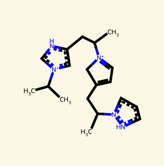 CC(Cc1c[n+](C(C)C)c[nH]1)[N+]1=CC=C(CC(C)[n+]2ccc[nH]2)C1